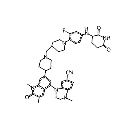 Cc1cc2c(N3CCN(C)c4ccc(C#N)cc43)cc(C3CCN(CC4CCN(c5ccc(NC6CCC(=O)NC6=O)cc5F)CC4)CC3)cc2n(C)c1=O